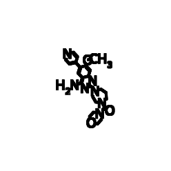 COc1cc2nc(N3CCCN(C(=O)N4CCOCC4)CC3)nc(N)c2cc1-c1ccncc1